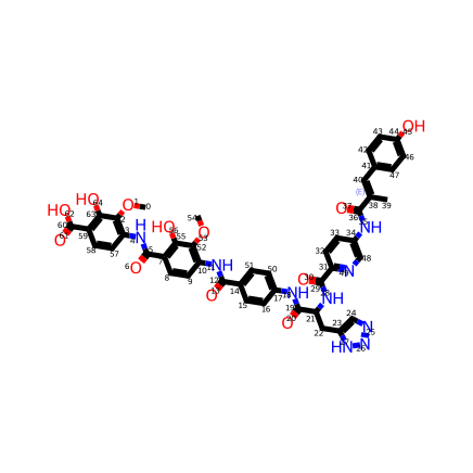 COc1c(NC(=O)c2ccc(NC(=O)c3ccc(NC(=O)C(Cc4cnn[nH]4)NC(=O)c4ccc(NC(=O)/C(C)=C/c5ccc(O)cc5)cn4)cc3)c(OC)c2O)ccc(C(=O)O)c1O